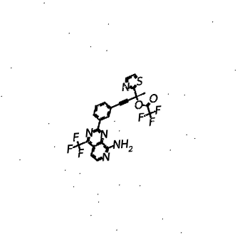 C[C@](C#Cc1cccc(-c2nc(C(F)(F)F)c3ccnc(N)c3n2)c1)(OC(=O)C(F)(F)F)c1nccs1